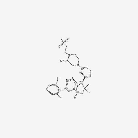 CC1(C)C[C@H]2CC[C@]1(c1cccc(N3CCN(CCS(C)(=O)=O)C(=O)C3)n1)c1nnc(-c3c(F)cccc3F)cc12